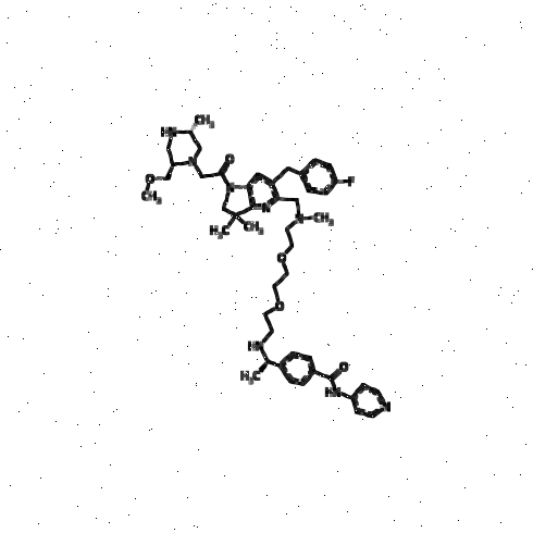 COC[C@H]1CN[C@H](C)CN1CC(=O)N1CC(C)(C)c2nc(CN(C)CCOCCOCCN[C@H](C)c3ccc(C(=O)Nc4ccncc4)cc3)c(Cc3ccc(F)cc3)cc21